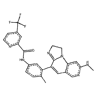 CNc1cc2c(cn1)C=C(c1cc(NC(=O)c3cc(C(F)(F)F)ccn3)ccc1C)C1=NCCN12